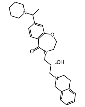 CC(c1ccc2c(c1)OCCN(C[C@H](O)CN1CCc3ccccc3C1)C2=O)N1CCCCC1